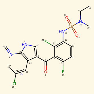 C=Nc1[nH]cc(C(=O)c2c(F)ccc(NS(=O)(=O)N(C)CC)c2F)c1/C=C(\C)Cl